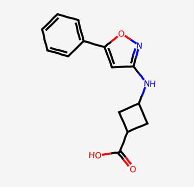 O=C(O)C1CC(Nc2cc(-c3ccccc3)on2)C1